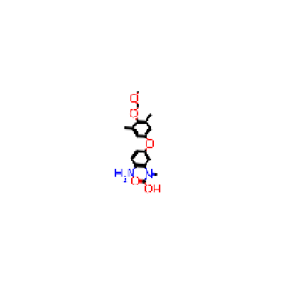 COCOc1c(C)cc(Oc2ccc(N)c(N(C)C(=O)O)c2)cc1C